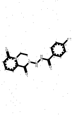 CCn1c(C(=O)ONNC(=O)c2ccc(F)cc2)cccc1=O